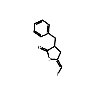 O=C1OC(=CI)CC1Cc1ccccc1